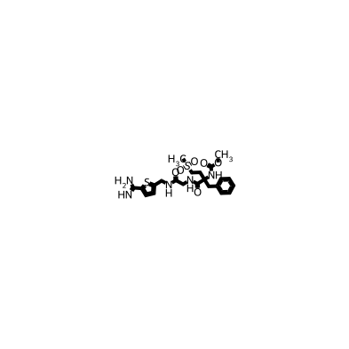 COC(=O)NC(CCS(C)(=O)=O)(Cc1ccccc1)C(=O)NCC(=O)NCc1ccc(C(=N)N)s1